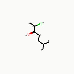 CC(C)CCC(=O)C(C)Cl